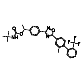 Cc1cc(-c2nc(-c3ccc(C(C)OC(=O)NC(C)(C)C)cc3)no2)ccc1-c1ccccc1C(F)(F)F